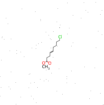 COC(=O)CC/C=C/CCCCCl